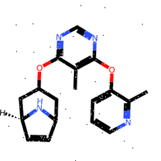 Cc1ncccc1Oc1ncnc(OC2CC3C=C[C@@H](C2)N3)c1C